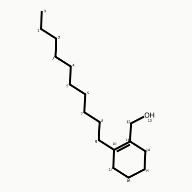 CCCCCCCCCCC1=C(CO)CCCC1